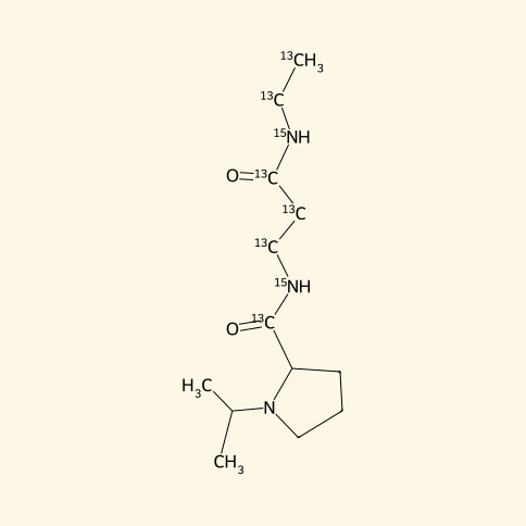 CC(C)N1CCCC1[13C](=O)[15NH][13CH2][13CH2][13C](=O)[15NH][13CH2][13CH3]